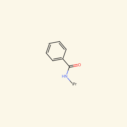 CC(C)NC(=O)c1cc[c]cc1